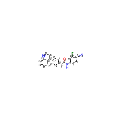 CC(C(=O)Nc1ccc(C#N)c(F)c1)C1CCC(c2ccnc3ccccc23)CC1